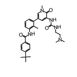 Cc1c(NC(=O)c2ccc(C(C)(C)C)cc2)cccc1-c1cc(NC(=O)NCCN(C)C)c(=O)n(C)c1